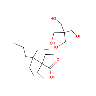 CCCC(CC)(CC)C(CC)(CC)C(=O)O.OCC(CO)(CO)CO